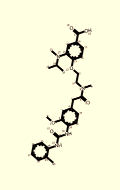 COc1cc(CC(=O)N(C)CCOc2ccc(C(=O)O)cc2N(C)C(C)C)ccc1NC(=O)Nc1ccccc1C